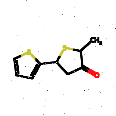 CC1SC(c2cccs2)CC1=O